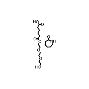 O=C(O)CCCCC(=O)OCCOCCOCCO.O=C1CCCCCN1